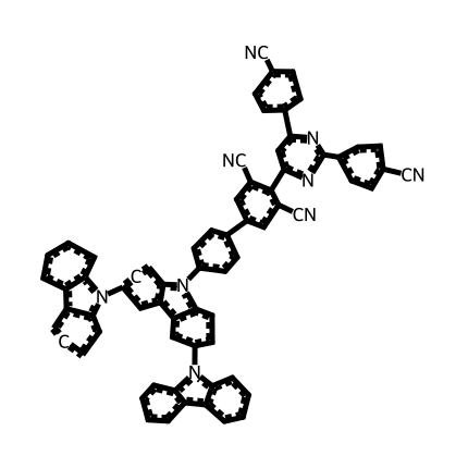 N#Cc1ccc(-c2cc(-c3c(C#N)cc(-c4ccc(-n5c6ccc(-n7c8ccccc8c8ccccc87)cc6c6cc(-n7c8ccccc8c8ccccc87)ccc65)cc4)cc3C#N)nc(-c3ccc(C#N)cc3)n2)cc1